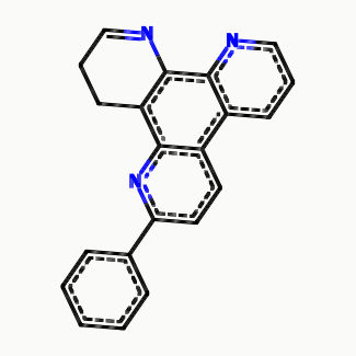 C1=Nc2c(c3nc(-c4ccccc4)ccc3c3cccnc23)CC1